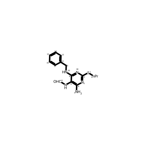 CCCSc1nc(N)c(NC=O)c(NCc2ccccc2)n1